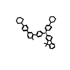 Cc1ccc(-c2ccc(C3CCCCC3)cc2)cc1-c1ccc(N(c2ccc(C3CCCCC3)cc2)c2ccc3c(c2)C(C)(C)c2ccccc2-3)cc1